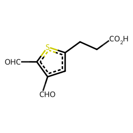 O=Cc1cc(CCC(=O)O)sc1C=O